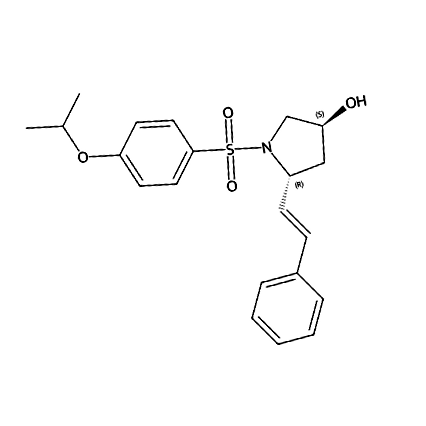 CC(C)Oc1ccc(S(=O)(=O)N2C[C@@H](O)C[C@@H]2C=Cc2ccccc2)cc1